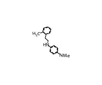 CNc1ccc(NCCc2ccccc2C)cc1